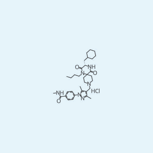 CCCCN1C(=O)[C@H](CC2CCCCC2)NC(=O)C12CCN(Cc1c(C)nn(-c3ccc(C(=O)NC)cc3)c1C)CC2.Cl